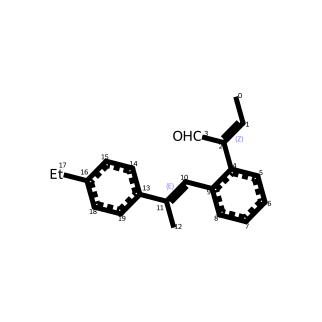 C/C=C(\C=O)c1ccccc1/C=C(\C)c1ccc(CC)cc1